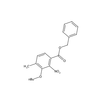 CCCCOc1c(C)ccc(C(=O)OCc2ccccc2)c1[N+](=O)[O-]